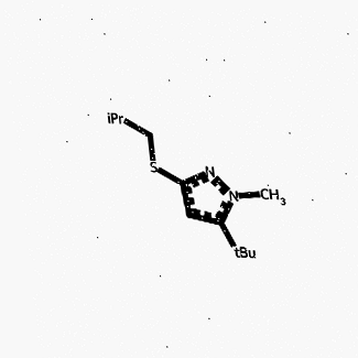 CC(C)CSc1cc(C(C)(C)C)n(C)n1